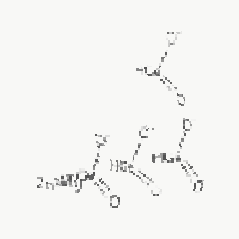 [Mg+2].[O]=[GeH][O-].[O]=[GeH][O-].[O]=[GeH][O-].[O]=[GeH][O-].[Zn+2]